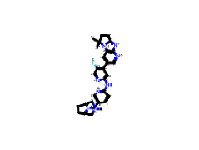 CN1CC2CCC(C1)N2Cc1ccc(Nc2cc(-c3cnc4nc5n(c4c3)C(C)(C)CC5)c(F)cn2)nc1